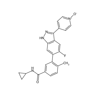 Cc1ccc(C(=O)NC2CC2)cc1-c1cc2[nH]nc(-c3cc[n+]([O-])cc3)c2cc1F